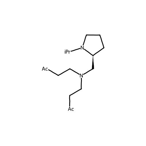 CC(=O)CCN(CCC(C)=O)C[C@@H]1CCCN1C(C)C